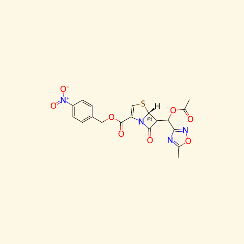 CC(=O)OC(c1noc(C)n1)C1C(=O)N2C(C(=O)OCc3ccc([N+](=O)[O-])cc3)=CS[C@H]12